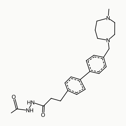 CC(=O)NNC(=O)CCc1ccc(-c2ccc(CN3CCCN(C)CC3)cc2)cc1